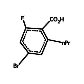 CCCc1cc(Br)cc(F)c1C(=O)O